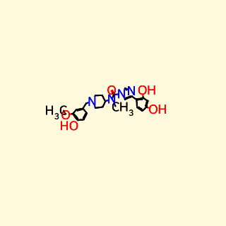 COc1cc(CN2CCC(N(C)C(=O)n3cnc(-c4ccc(O)cc4O)c3)CC2)ccc1O